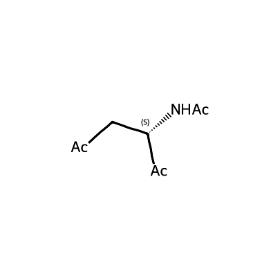 CC(=O)C[C@H](NC(C)=O)C(C)=O